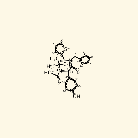 CC(C)(C)N(C(=O)O)[C@@H](C(=O)N(Cc1cccs1)Cc1cccs1)c1ccc(O)cc1